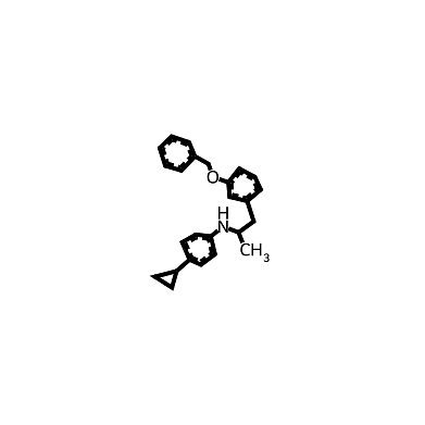 CC(Cc1cccc(OCc2ccccc2)c1)Nc1ccc(C2CC2)cc1